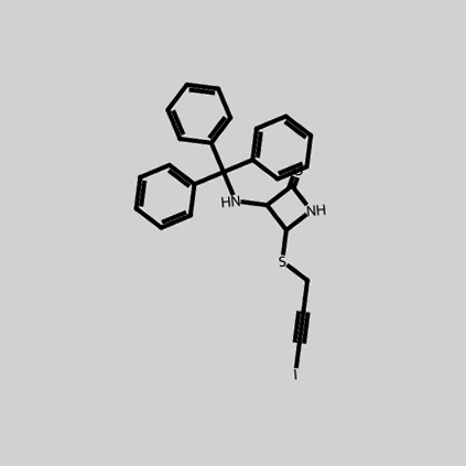 O=C1NC(SCC#CI)C1NC(c1ccccc1)(c1ccccc1)c1ccccc1